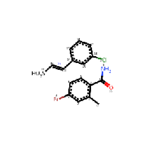 Cc1cc(Br)ccc1C(N)=O.O=S(=O)(O)/C=C/c1cccc(Cl)c1